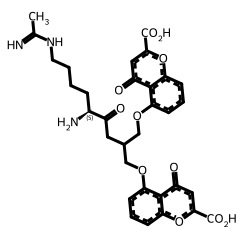 CC(=N)NCCCC[C@H](N)C(=O)CC(COc1cccc2oc(C(=O)O)cc(=O)c12)COc1cccc2oc(C(=O)O)cc(=O)c12